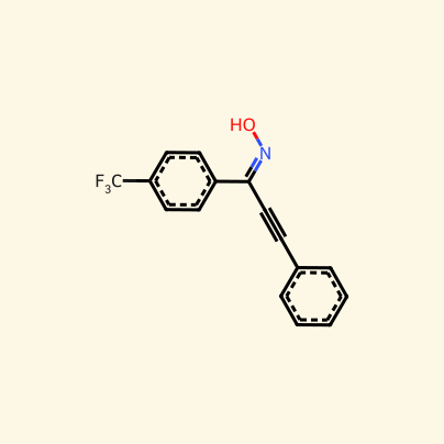 O/N=C(/C#Cc1ccccc1)c1ccc(C(F)(F)F)cc1